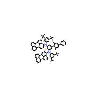 Cc1cc(-c2ccccc2)cc(C)c1-c1cc2c3c(c1)N(c1cc(C(C)(C)C)cc(C(C)(C)C)c1)c1c(cc4c5cccc6cccc(c7cccc1c74)c65)B3c1cc3c4cccc5cccc(c6cccc(c1N2c1cc(C(C)(C)C)cc(C(C)(C)C)c1)c63)c54